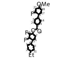 CCc1ccc(-c2ccc(OC(=O)c3ccc(-c4ccc(OC)cc4F)cc3)c(F)c2F)cc1